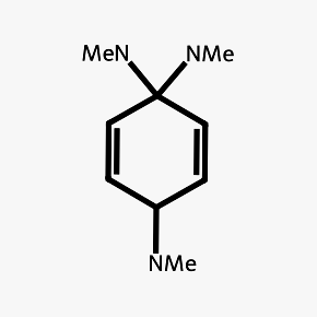 CNC1C=CC(NC)(NC)C=C1